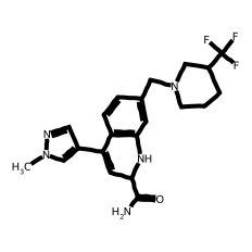 Cn1cc(C2=CC(C(N)=O)Nc3cc(CN4CCCC(C(F)(F)F)C4)ccc32)cn1